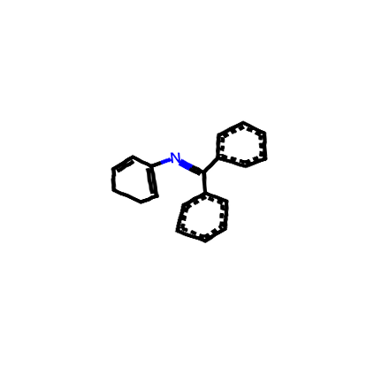 C1=CC(N=C(c2ccccc2)c2ccccc2)=CCC1